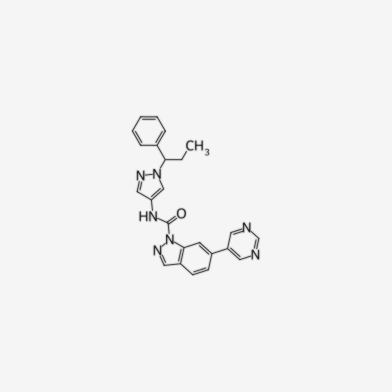 CCC(c1ccccc1)n1cc(NC(=O)n2ncc3ccc(-c4cncnc4)cc32)cn1